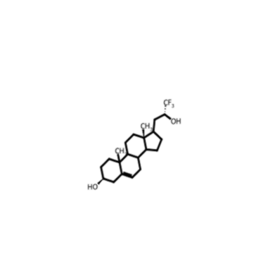 CC12CC[C@H](O)CC1=CCC1C2CC[C@]2(C)C(C[C@@H](O)C(F)(F)F)CCC12